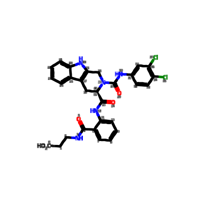 O=C(O)CCNC(=O)c1ccccc1NC(=O)[C@H]1Cc2c([nH]c3ccccc23)CN1C(=O)Nc1ccc(Cl)c(Cl)c1